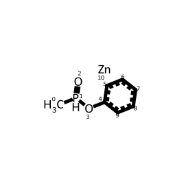 C[PH](=O)Oc1ccccc1.[Zn]